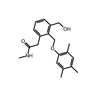 CNC(=O)Cc1cccc(CO)c1COc1cc(C)c(C)cc1C